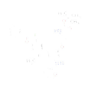 CCc1cc(OCc2ccccc2)c(F)cc1-c1cc(O[C@H]2C[C@H](NC(=O)OC(C)(C)C)C2)c2cnn(C3CCCCO3)c2c1